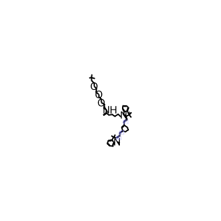 C=C(CCCCC[N+]1=C(/C=C/C2=CC(=C/C=C3/N(C)c4ccccc4C3(C)C)/CCC2)C(C)(C)c2ccccc21)NCCOCCOCCOCCC(C)(C)C